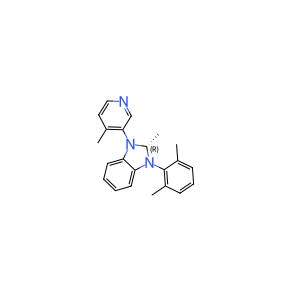 Cc1ccncc1N1c2ccccc2N(c2c(C)cccc2C)[C@H]1C